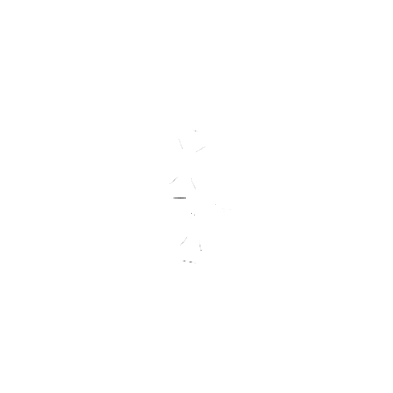 CCc1cccc(Oc2cccc(N(Cc3ccccc3SC(F)(F)F)CC(O)C(C)C)c2)c1